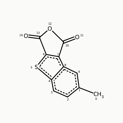 Cc1ccc2sc3c(c2c1)C(=O)OC3=O